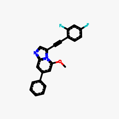 COc1cc(-c2ccccc2)cc2ncc(C#Cc3ccc(F)cc3F)n12